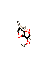 CCO[C@H]1CO[C@H]2[C@@H](CC)CO[C@H]21